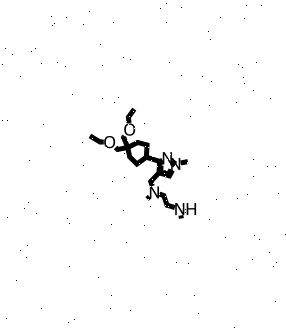 CCOCC1(COCC)CCC(c2nn(C)cc2CN(C)CCNC)CC1